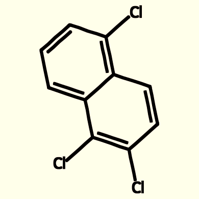 Clc1ccc2c(Cl)cccc2c1Cl